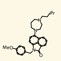 COc1ccc(CN2C(=O)c3cccc4c(N5CCCN(CCC(C)C)CC5)ccc2c34)cc1